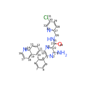 Nc1nc(-c2ccccc2)c(-c2ccc3ncccc3c2)nc1C(=O)NCc1ccc(Cl)cn1